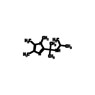 Cc1nc(C(C)(C)NC(C)C)n(C)c1C